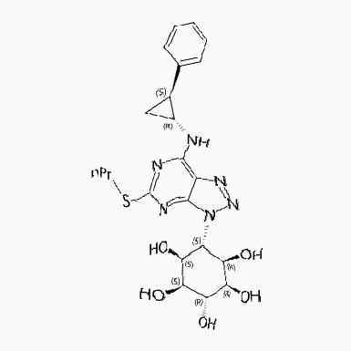 CCCSc1nc(N[C@@H]2C[C@H]2c2ccccc2)c2nnn([C@H]3[C@H](O)[C@H](O)[C@@H](O)[C@H](O)[C@@H]3O)c2n1